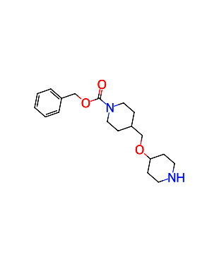 O=C(OCc1ccccc1)N1CCC(COC2CCNCC2)CC1